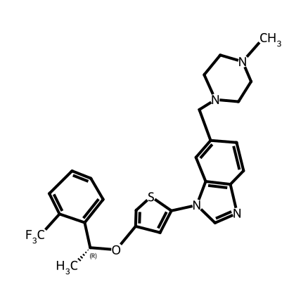 C[C@@H](Oc1csc(-n2cnc3ccc(CN4CCN(C)CC4)cc32)c1)c1ccccc1C(F)(F)F